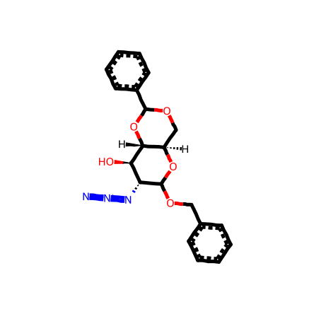 [N-]=[N+]=N[C@H]1C(OCc2ccccc2)O[C@@H]2COC(c3ccccc3)O[C@H]2[C@@H]1O